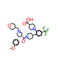 COc1ccc([C@@H]2CN(CC3CCOCC3)C[C@H]2C(=O)N2CCC(c3ccc(C(F)(F)F)cc3N3CCC(C(=O)O)CC3)CC2)cc1